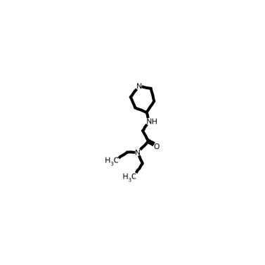 CCN(CC)C(=O)CNC1CC[N]CC1